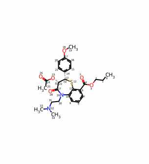 CCCOC(=O)c1cccc2c1S[C@@H](c1ccc(OC)cc1)[C@@H](OC(C)=O)C(=O)N2CCN(C)C